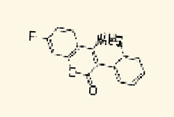 COc1ccccc1-c1c(C)c2ccc(F)cc2oc1=O